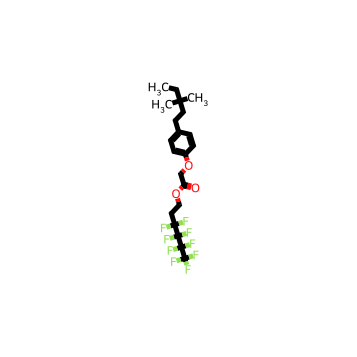 CCC(C)(C)CCc1ccc(OCC(=O)OCCC(F)(F)C(F)(F)C(F)(F)C(F)(F)F)cc1